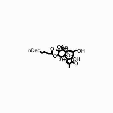 CCCCCCCCCCCCCC(=O)O[C@@H]1[C@H](C)[C@@]2(O)[C@@H](C=C(CO)C[C@]3(O)C(=O)C(C)=C[C@@H]23)C(C)(C)[C@]1(C)OC(C)=O